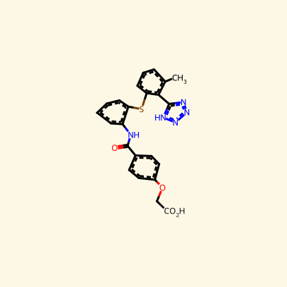 Cc1cccc(Sc2ccccc2NC(=O)c2ccc(OCC(=O)O)cc2)c1-c1nnn[nH]1